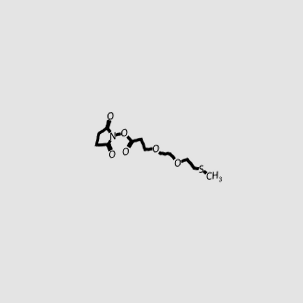 CSCCOCCOCCC(=O)ON1C(=O)CCC1=O